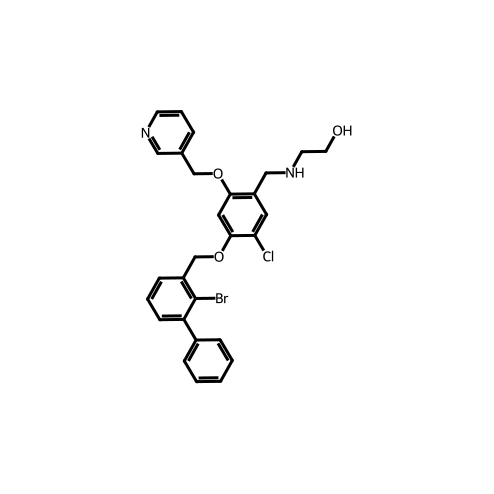 OCCNCc1cc(Cl)c(OCc2cccc(-c3ccccc3)c2Br)cc1OCc1cccnc1